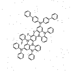 Fc1ccccc1N1c2cc(N(c3ccccc3)c3ccccc3)cc3c2B(c2ccccc2N3c2ccccc2)c2cc3c(c(F)c21)Sc1cc(N(c2ccc(-c4ccccc4)cc2)c2ccc(-c4ccccc4)cc2)cc2c1B3c1ccccc1N2c1ccccc1